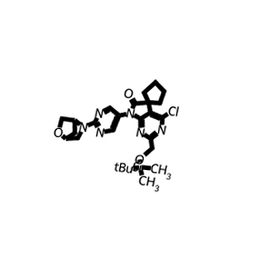 CC(C)(C)[Si](C)(C)OCc1nc(Cl)c2c(n1)N(c1cnc(N3CC4CC3CO4)nc1)C(=O)C21CCCC1